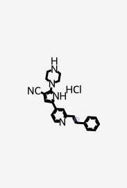 Cl.N#Cc1cc(-c2ccnc(/C=C/c3ccccc3)c2)[nH]c1N1CCNCC1